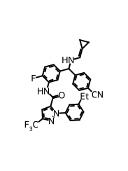 CCc1cccc(-n2nc(C(F)(F)F)cc2C(=O)Nc2cc(C(NC=C3CC3)c3ccc(C#N)cc3)ccc2F)c1